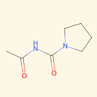 CC(=O)NC(=O)N1CCCC1